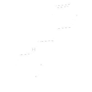 CC=C[SiH](CC)OCc1ccccc1